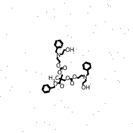 CC(COC(=O)OCCN(CCO)Cc1ccccc1)(COC(=O)OCCN(CCO)Cc1ccccc1)C(=O)OCc1ccccc1